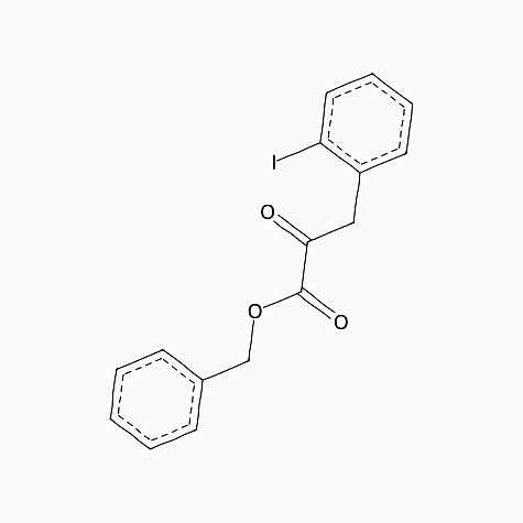 O=C(Cc1ccccc1I)C(=O)OCc1ccccc1